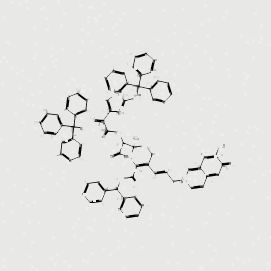 O=C(OC(c1ccccc1)c1ccccc1)C1=C(/C=C/Cn2ccc3cc(=O)c(O)cc-3c2)CS[C@H]2C(NC(=O)/C(=N\OC(c3ccccc3)(c3ccccc3)c3ccccc3)c3csc(NC(c4ccccc4)(c4ccccc4)c4ccccc4)n3)C(=O)N12